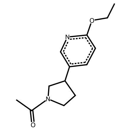 CCOc1ccc(C2CCN(C(C)=O)C2)cn1